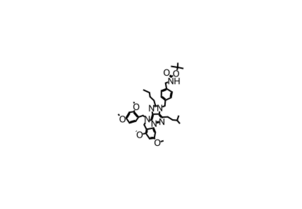 CCCCc1nc2c(N(Cc3ccc(OC)cc3OC)Cc3ccc(OC)cc3OC)nnc(CCC(C)C)c2n1Cc1ccc(CNC(=O)OC(C)(C)C)cc1